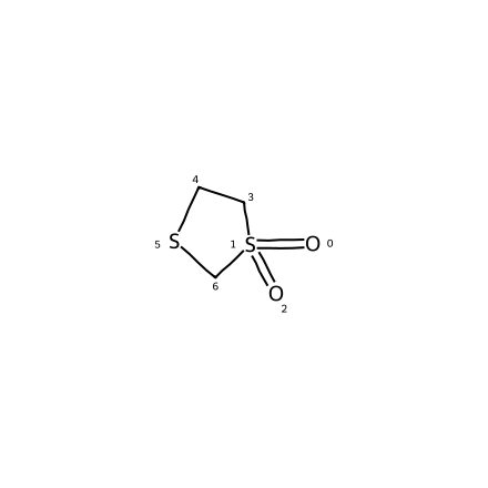 O=S1(=O)CCSC1